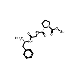 CC(C)(C)OC(=O)N1CCC[C@H]1C(=O)NCC(=O)N[C@H](Cc1ccccc1)C(=O)O